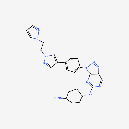 N[C@H]1CC[C@H](Nc2ncc3nnn(-c4ccc(-c5cnn(CCn6cccn6)c5)cc4)c3n2)CC1